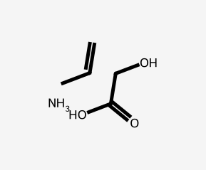 C=CC.N.O=C(O)CO